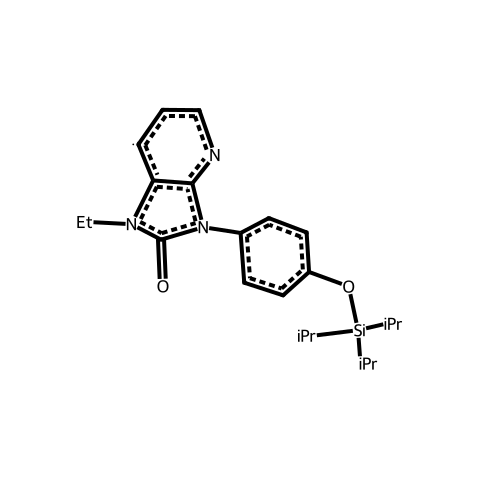 CCn1c(=O)n(-c2ccc(O[Si](C(C)C)(C(C)C)C(C)C)cc2)c2ncc[c]c21